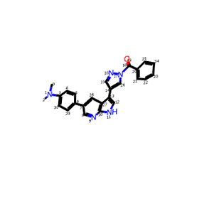 CN(C)c1ccc(-c2cnc3[nH]cc(-c4cnn(C(=O)c5ccccc5)c4)c3c2)cc1